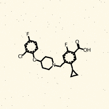 O=C(O)c1cc(C2CC2)c(CN2CCC(Oc3ccc(F)cc3Cl)CC2)cc1F